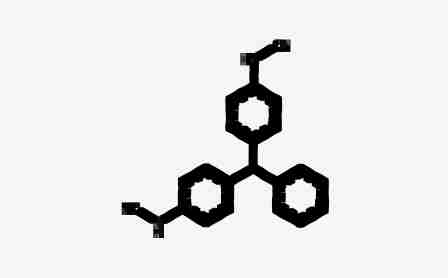 N#CNc1ccc(C(c2ccccc2)c2ccc(NC#N)cc2)cc1